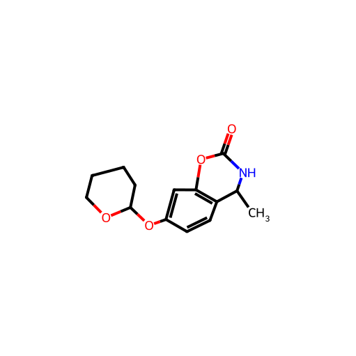 CC1NC(=O)Oc2cc(OC3CCCCO3)ccc21